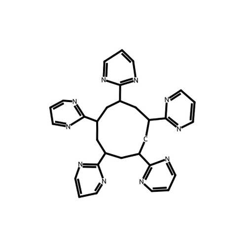 c1cnc(C2CC(c3ncccn3)CC(c3ncccn3)CC(c3ncccn3)CC(c3ncccn3)C2)nc1